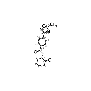 O=C(CN1CCOCC1=O)c1ccc(-c2noc(C(F)(F)F)n2)cc1